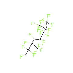 FCC(F)(F)C(F)(C(F)=C(F)C(F)(F)C(F)(C(F)(F)F)C(F)(F)F)C(F)(F)F